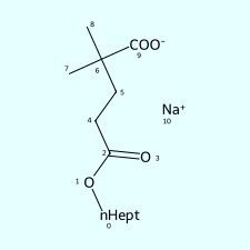 CCCCCCCOC(=O)CCC(C)(C)C(=O)[O-].[Na+]